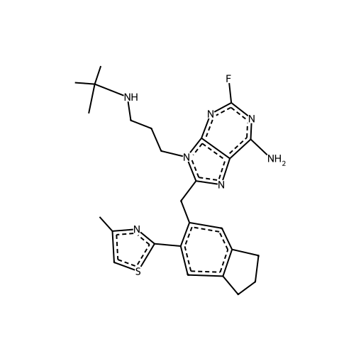 Cc1csc(-c2cc3c(cc2Cc2nc4c(N)nc(F)nc4n2CCCNC(C)(C)C)CCC3)n1